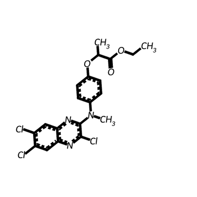 CCOC(=O)C(C)Oc1ccc(N(C)c2nc3cc(Cl)c(Cl)cc3nc2Cl)cc1